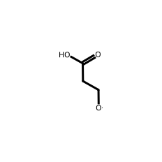 [O]CCC(=O)O